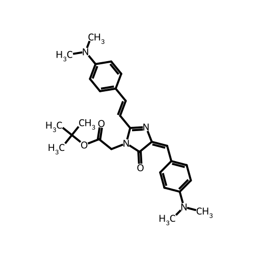 CN(C)c1ccc(C=CC2=NC(=Cc3ccc(N(C)C)cc3)C(=O)N2CC(=O)OC(C)(C)C)cc1